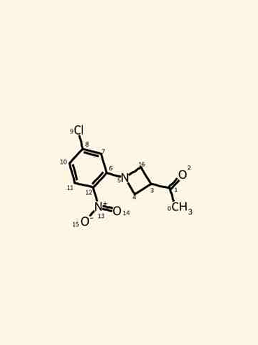 CC(=O)C1CN(c2cc(Cl)ccc2[N+](=O)[O-])C1